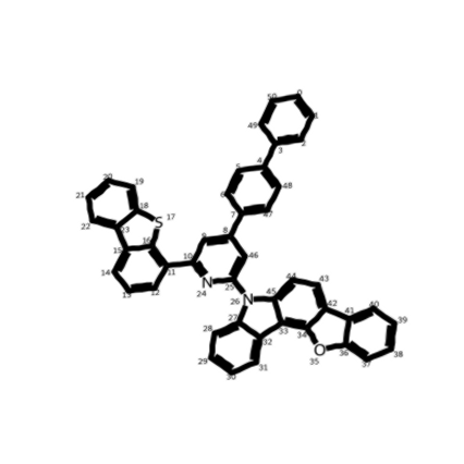 c1ccc(-c2ccc(-c3cc(-c4cccc5c4sc4ccccc45)nc(-n4c5ccccc5c5c6oc7ccccc7c6ccc54)c3)cc2)cc1